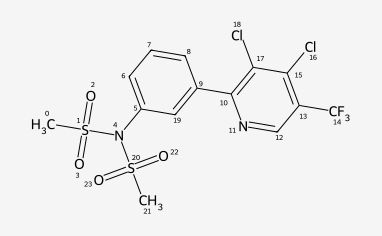 CS(=O)(=O)N(c1cccc(-c2ncc(C(F)(F)F)c(Cl)c2Cl)c1)S(C)(=O)=O